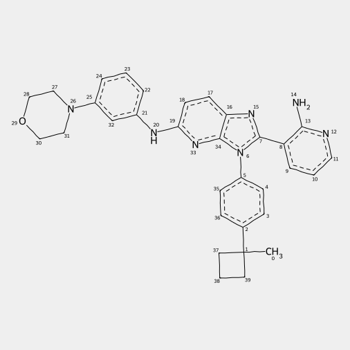 CC1(c2ccc(-n3c(-c4cccnc4N)nc4ccc(Nc5cccc(N6CCOCC6)c5)nc43)cc2)CCC1